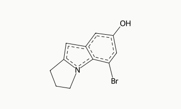 Oc1cc(Br)c2c(c1)cc1n2CCC1